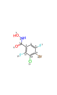 O=C(NO)c1cc(F)c(Br)c(Cl)c1F